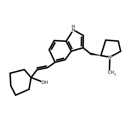 CN1CCC[C@@H]1Cc1c[nH]c2ccc(C=CC3(O)CCCCC3)cc12